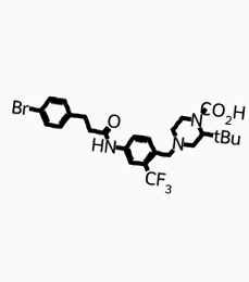 CC(C)(C)C1CN(Cc2ccc(NC(=O)CCc3ccc(Br)cc3)cc2C(F)(F)F)CCN1C(=O)O